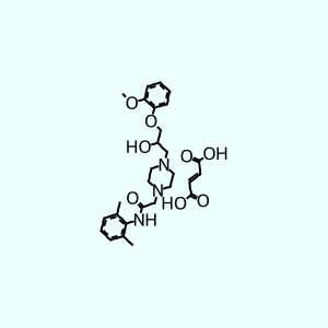 COc1ccccc1OCC(O)CN1CCN(CC(=O)Nc2c(C)cccc2C)CC1.O=C(O)/C=C/C(=O)O